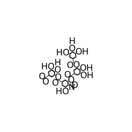 COC(=O)c1cc(O)c(O)c(OC(=O)c2cc(O)c(N=O)c(OC(=O)c3cc(O)c(O)c(OC(=O)c4cc(O)c(O)c(O)c4)c3)c2)c1